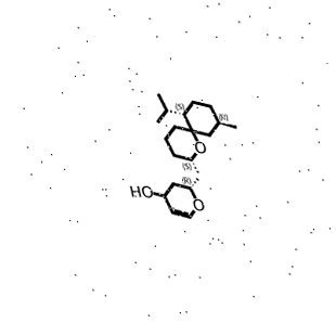 CC(C)[C@@H]1CC[C@@H](C)CC12CCC[C@@H](C[C@H]1CC(O)C=CO1)O2